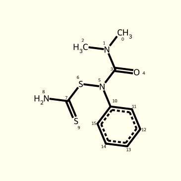 CN(C)C(=O)N(SC(N)=S)c1ccccc1